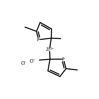 CC1=P[C](C)([Zr+2][C]2(C)C=CC(C)=P2)C=C1.[Cl-].[Cl-]